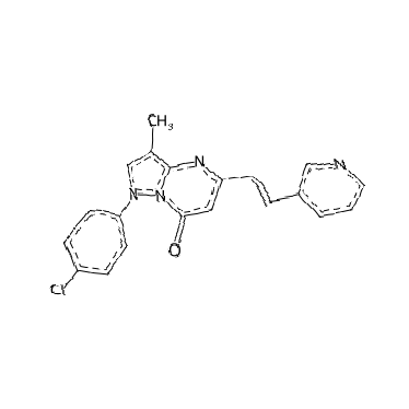 Cc1cn(-c2ccc(Cl)cc2)n2c(=O)cc(/C=C/c3cccnc3)nc12